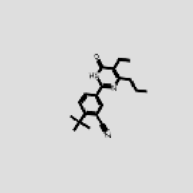 CCCc1nc(-c2ccc(C(C)(C)C)c(C#N)c2)[nH]c(=O)c1CC